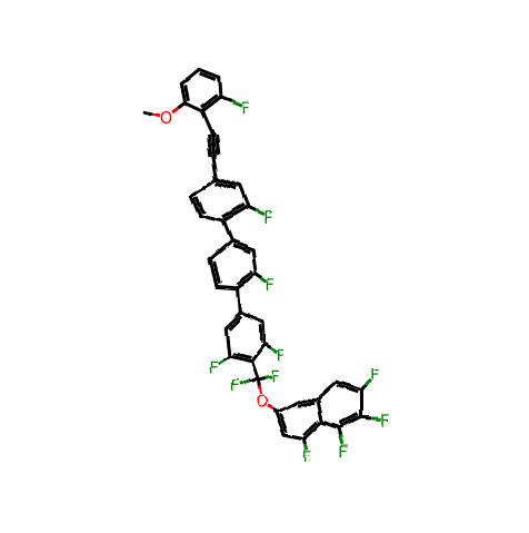 COc1cccc(F)c1C#Cc1ccc(-c2ccc(-c3cc(F)c(C(F)(F)Oc4cc(F)c5c(F)c(F)c(F)cc5c4)c(F)c3)c(F)c2)c(F)c1